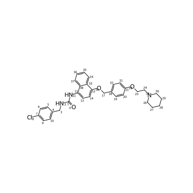 O=C(NCc1ccc(Cl)cc1)Nc1ccc(OCc2ccc(OCCN3CCCCC3)cc2)c2ccccc12